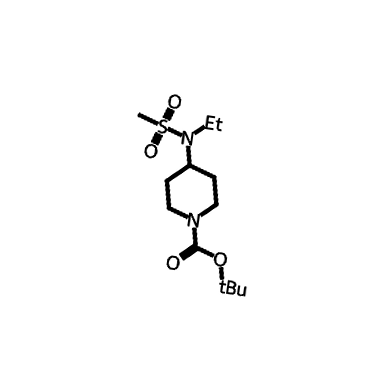 CCN(C1CCN(C(=O)OC(C)(C)C)CC1)S(C)(=O)=O